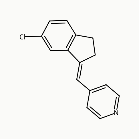 Clc1ccc2c(c1)C(=Cc1ccncc1)CC2